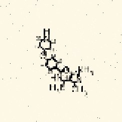 Cc1nn(C)cc1C(C)NC(=O)c1ccc(OC2CCNCC2)cc1